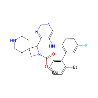 CCc1ccccc1-c1cc(F)ccc1Nc1cncnc1C1N(C(=O)OC(C)(C)C)CC12CCNCC2